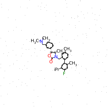 Cc1ccc(-c2cc(C(C)C)c(F)cc2C)c(CN2C(=O)O[C@H](c3cccc(CN(C)C)c3)[C@@H]2C)c1